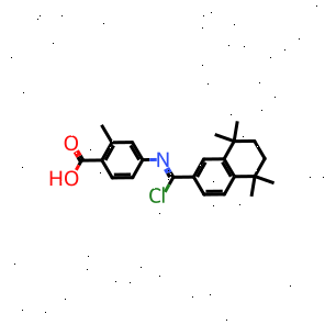 Cc1cc(N=C(Cl)c2ccc3c(c2)C(C)(C)CCC3(C)C)ccc1C(=O)O